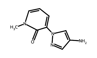 Cn1cccc(-n2cc(N)cn2)c1=O